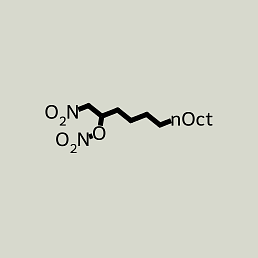 CCCCCCCCCCCCC(C[N+](=O)[O-])O[N+](=O)[O-]